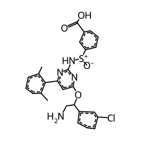 Cc1cccc(C)c1-c1cc(OC(CN)c2cccc(Cl)c2)nc(N[S+]([O-])c2cccc(C(=O)O)c2)n1